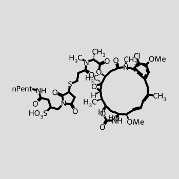 CCCCCNC(=O)CC(CN1C(=O)CC(SCCC(=O)N(C)[C@H](C)C(=O)O[C@H]2CC(=O)N(C)c3cc(cc(OC)c3Cl)C/C(C)=C/C=C/[C@@H](OC)[C@@]3(O)C[C@H](OC(=O)N3)[C@@H](C)[C@@H]3O[C@@]23C)C1=O)S(=O)(=O)O